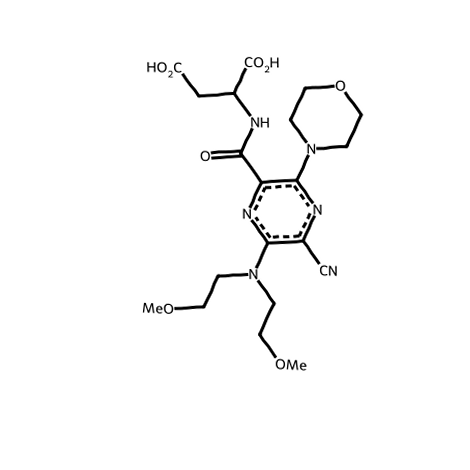 COCCN(CCOC)c1nc(C(=O)NC(CC(=O)O)C(=O)O)c(N2CCOCC2)nc1C#N